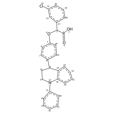 O=C(O)C(Oc1ccc(C2CCN(c3ccccc3)c3ccccc32)cc1)c1cccc(Cl)c1